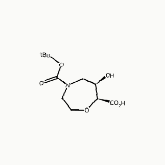 CC(C)(C)OC(=O)N1CCO[C@H](C(=O)O)[C@H](O)C1